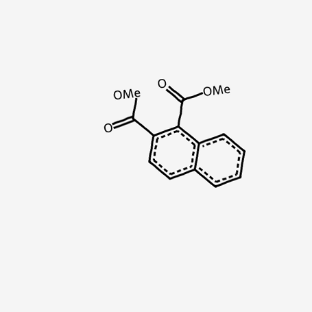 COC(=O)c1ccc2ccccc2c1C(=O)OC